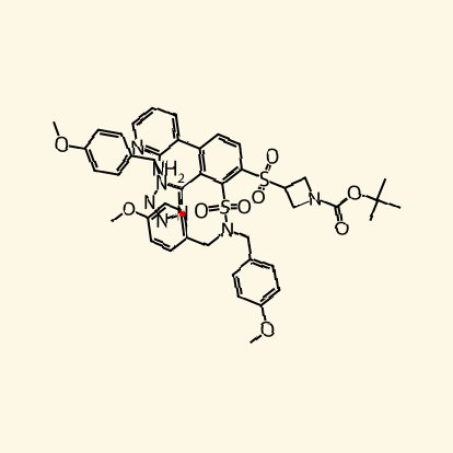 COc1ccc(CN(Cc2ccc(OC)cc2)S(=O)(=O)c2c(S(=O)(=O)C3CN(C(=O)OC(C)(C)C)C3)ccc(-c3cccnc3N)c2-c2nnnn2Cc2ccc(OC)cc2)cc1